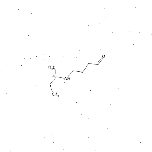 CC[C@H](C)NCCCC=O